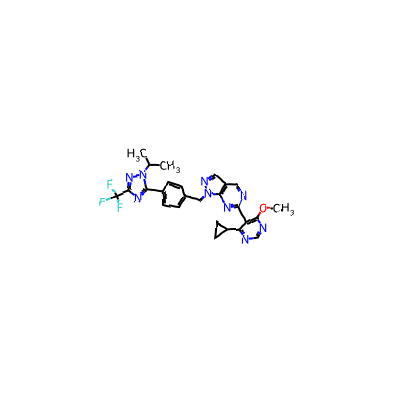 COc1ncnc(C2CC2)c1-c1ncc2cnn(Cc3ccc(-c4nc(C(F)(F)F)nn4C(C)C)cc3)c2n1